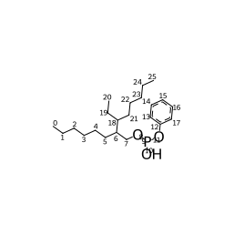 CCCCCCC(COP(O)Oc1ccccc1)C(CC)CCCCC